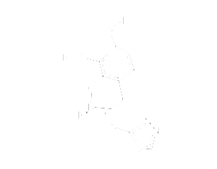 CC(C)Oc1ccc2c(c1C(=O)O)OB(O)[C@@H](Sc1nncs1)C2